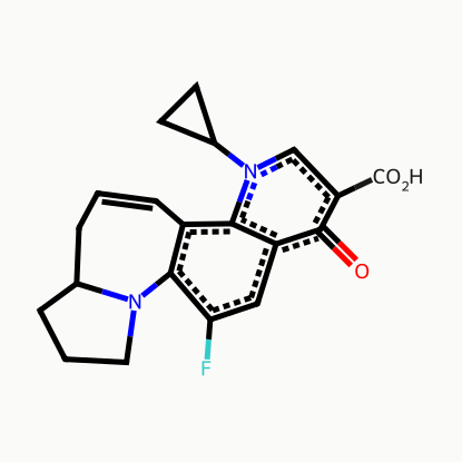 O=C(O)c1cn(C2CC2)c2c3c(c(F)cc2c1=O)N1CCCC1CC=C3